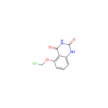 O=c1[nH]c(=O)c2c(OCCl)cccc2[nH]1